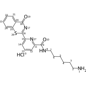 Cl.NCCCCCCNC(=O)c1cccc(-c2nc(=O)c3ccccc3s2)n1